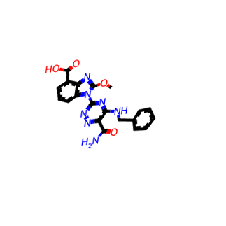 COc1nc2c(C(=O)O)cccc2n1-c1nnc(C(N)=O)c(NCc2ccccc2)n1